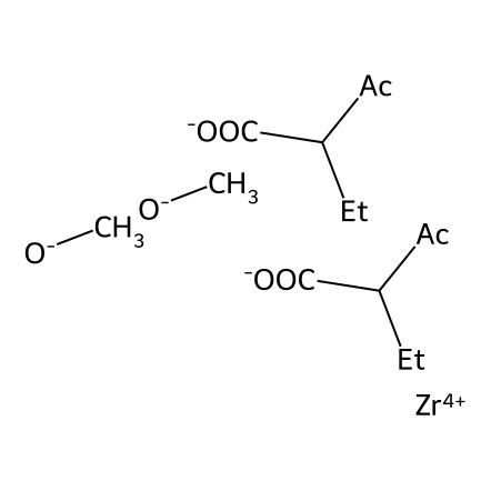 CCC(C(C)=O)C(=O)[O-].CCC(C(C)=O)C(=O)[O-].C[O-].C[O-].[Zr+4]